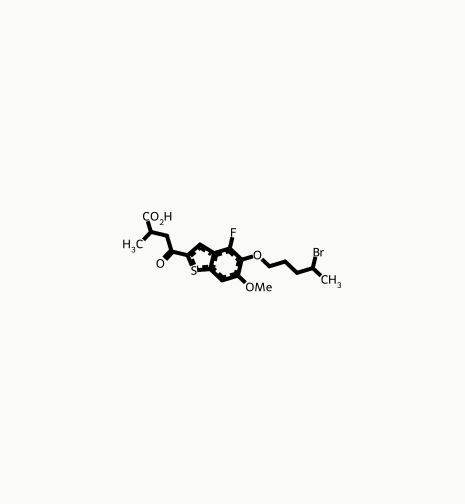 COc1cc2sc(C(=O)CC(C)C(=O)O)cc2c(F)c1OCCCC(C)Br